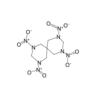 O=[N+]([O-])N1CN([N+](=O)[O-])CC2(C1)CN([N+](=O)[O-])CN([N+](=O)[O-])C2